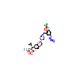 C[C@H](C(=O)O)[C@H](c1ccc2c(c1)O[C@@H](C1CCN(Cc3cc(CN=[N+]=[N-])ccc3OC(F)(F)F)CC1)CC2)C1CC1